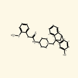 COc1ccccc1CC(=O)NC1CCN(CC23CC(c4ccccc42)c2ccc(Cl)cc23)CC1